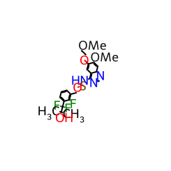 COCCOc1cc2c(NSOCc3cccc(C(F)(F)C(C)(C)O)c3F)ncnc2cc1OC